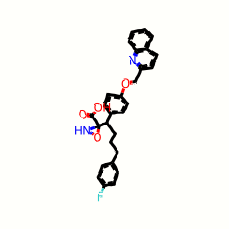 O=C(O)C1(C(CCCc2ccc(F)cc2)c2ccc(OCc3ccc4ccccc4n3)cc2)NO1